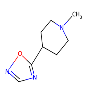 CN1CCC(c2ncno2)CC1